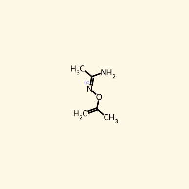 C=C(C)O/N=C(/C)N